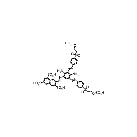 Nc1c(/N=N/c2ccc(S(=O)(=O)CCOS(=O)(=O)O)cc2)cc(/N=N/c2cc3c(S(=O)(=O)O)cc(S(=O)(=O)O)cc3cc2S(=O)(=O)O)c(N)c1/N=N/c1ccc(S(=O)(=O)CCOS(=O)(=O)O)cc1